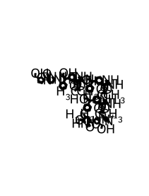 CC(C)S(=O)(=O)n1c(=N)[nH]c2ccc(/C(=N/O)c3ccccc3)cc21.CC(C)S(=O)(=O)n1c(=N)[nH]c2ccc(/C(=N/O)c3ccccc3)cc21.CC(C)S(=O)(=O)n1c(=N)[nH]c2ccc(/C(=N\O)c3ccccc3)cc21.Cc1cn([C@H]2C[C@H](N=[N+]=[N-])[C@@H](CO)O2)c(=O)[nH]c1=O.Nc1ccn([C@H]2CC[C@@H](CO)O2)c(=O)n1